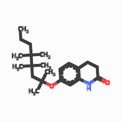 CCCC(C)(C)C(C)(C)CC(C)(C)Oc1ccc2c(c1)NC(=O)CC2